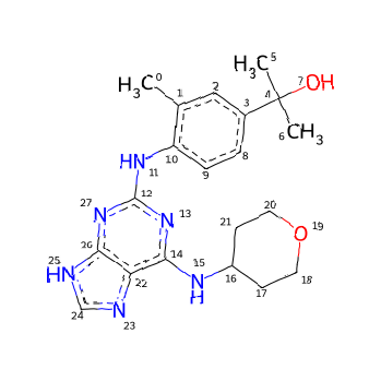 Cc1cc(C(C)(C)O)ccc1Nc1nc(NC2CCOCC2)c2nc[nH]c2n1